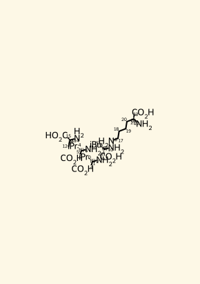 CC(C)[C@H](N)C(=O)O.CC(C)[C@H](N)C(=O)O.CC[C@H](C)[C@H](N)C(=O)O.C[C@H](N)C(=O)O.NCCCC[C@H](N)C(=O)O